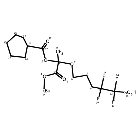 CC(C)(C)OC(=O)C(OCCCC(F)(F)C(F)(F)S(=O)(=O)O)(OC(=O)C1CCCCC1)C(F)(F)F